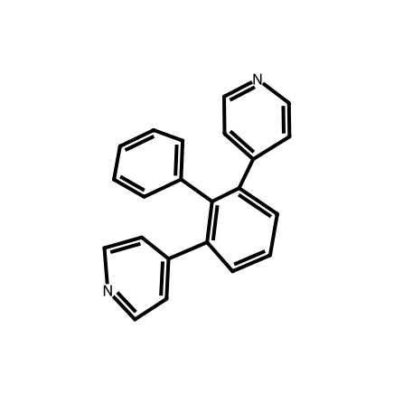 c1ccc(-c2c(-c3ccncc3)cccc2-c2ccncc2)cc1